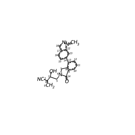 C=C(C#N)C(O)CN1Cc2c(cccc2-c2ccc3cnn(C)c3c2)C1=O